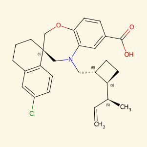 C=C[C@H](C)[C@@H]1CC[C@H]1CN1C[C@@]2(CCCc3cc(Cl)ccc32)COc2ccc(C(=O)O)cc21